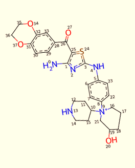 Nc1nc(Nc2ccc([N+]3(C4CCNCC4)CCCC(O)C3)cc2)sc1C(=O)c1ccc2c(c1)OCCO2